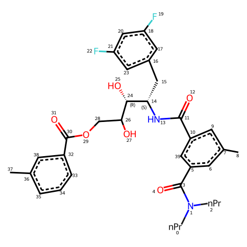 CCCN(CCC)C(=O)c1cc(C)cc(C(=O)N[C@@H](Cc2cc(F)cc(F)c2)[C@@H](O)C(O)COC(=O)c2cccc(C)c2)c1